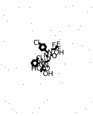 CC(O)(C(=O)O)c1nc(Cn2nc(-c3ccc(Cl)cc3)n(CC(O)C(F)(F)F)c2=O)nn1-c1ccccc1Cl